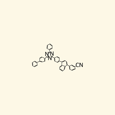 N#Cc1cccc(-c2ccc(-c3ccc(-c4nc(-c5ccccc5)nc(-c5ccc(-c6ccccc6)cc5)n4)cc3)c3ccccc23)c1